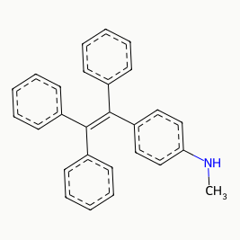 CNc1ccc(C(=C(c2ccccc2)c2ccccc2)c2ccccc2)cc1